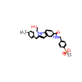 CCS(=O)(=O)c1ccc(CNC(=O)c2ccc3c(c2)cc(Cc2ccc(C)cc2)n3CCO)cc1